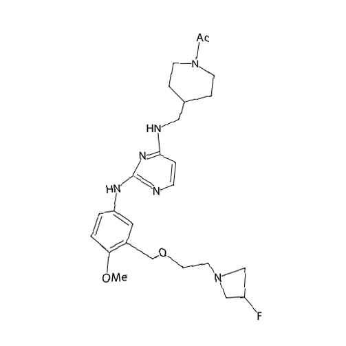 COc1ccc(Nc2nccc(NCC3CCN(C(C)=O)CC3)n2)cc1COCCN1CC(F)C1